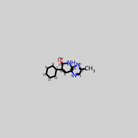 Cc1cnc2cc(C3CCCCC3)c(=O)[nH]c2n1